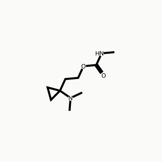 CNC(=O)OCCC1(N(C)C)CC1